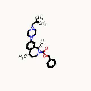 C=C(C)CN1CCN(c2ccc3c(c2)[C@@H](C)N(C(=O)OCc2ccccc2)CC[C@@H]3C)CC1